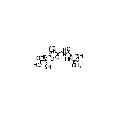 CC(=O)N[C@@H](CS)C(=O)NCC(=O)N1CCC[C@H]1C(=O)N[C@@H](CS)C(=O)O